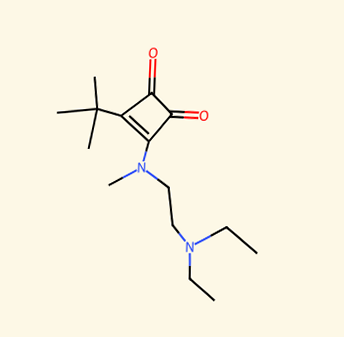 CCN(CC)CCN(C)c1c(C(C)(C)C)c(=O)c1=O